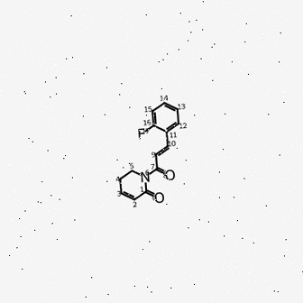 O=C1C=CCCN1C(=O)C=Cc1ccccc1F